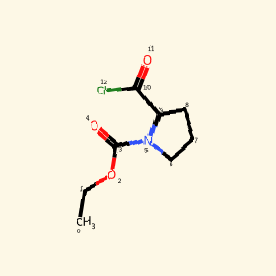 CCOC(=O)N1CCCC1C(=O)Cl